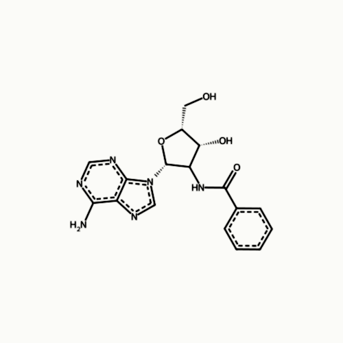 Nc1ncnc2c1ncn2[C@@H]1O[C@H](CO)[C@H](O)C1NC(=O)c1ccccc1